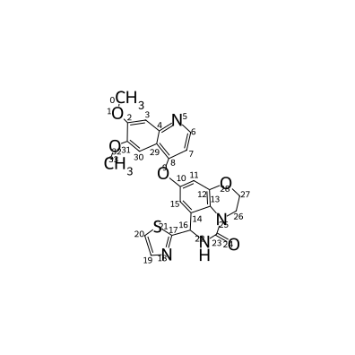 COc1cc2nccc(Oc3cc4c5c(c3)C(c3nccs3)NC(=O)N5CCO4)c2cc1OC